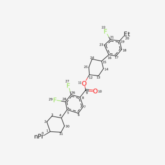 CCCC1CCC(c2ccc(C(=O)OC3CCC(c4ccc(CC)c(F)c4)CC3)c(F)c2F)CC1